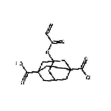 C=CC(=O)OC12CC3CC(C(=O)O)(C1)CC(C(=O)O)(C3)C2